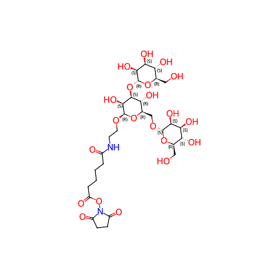 O=C(CCCCC(=O)ON1C(=O)CCC1=O)NCCO[C@@H]1O[C@H](CO[C@H]2O[C@H](CO)[C@@H](O)[C@H](O)[C@@H]2O)[C@@H](O)[C@H](O[C@H]2O[C@H](CO)[C@@H](O)[C@H](O)[C@@H]2O)[C@@H]1O